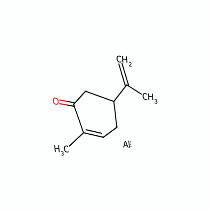 C=C(C)C1CC=C(C)C(=O)C1.[Al]